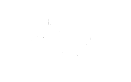 CC(C)Oc1c(F)cccc1N1CCN(CCCN2C(=O)CC(C)(NC3CC3)C2=O)CC1